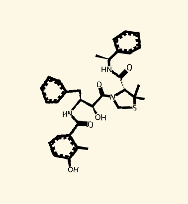 Cc1c(O)cccc1C(=O)N[C@@H](Cc1ccccc1)[C@H](O)C(=O)N1CSC(C)(C)[C@H]1C(=O)N[C@@H](C)c1ccccc1